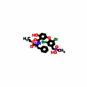 CCOC(=O)[C@H](Cc1ccccc1)NC(=O)c1cc(Oc2c(Br)cc(CP(C)(=O)O)cc2Br)ccc1O